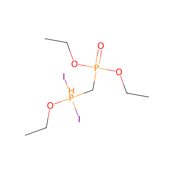 CCOP(=O)(C[PH](I)(I)OCC)OCC